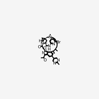 CC(=O)c1nn2c3c(cc(-c4cnc(C)nc4)cc13)C(C)C(C)CCCCCN(C)C[C@@]13C[C@@H](C(=O)Nc4cccc(Br)n4)N(C(=O)C2)[C@@H]1C3